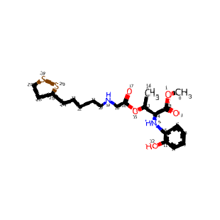 COC(=O)C(Nc1ccccc1O)C(C)OC(=O)CNCCCCCC1CCSS1